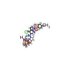 CC[C@@H]1CCC(N(CC)c2cnc3c(ccn3S(=O)(=O)c3ccc(C)cc3)c2Cl)[C@H]1NS(=O)(=O)C1CC1